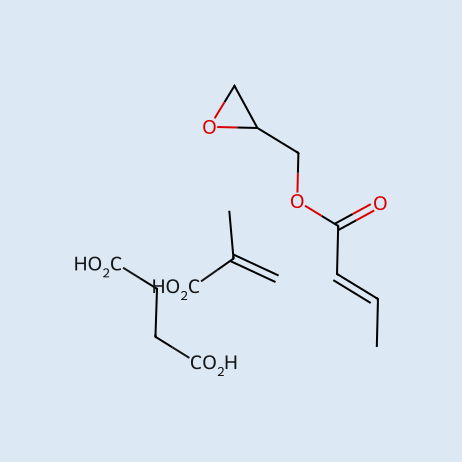 C=C(C)C(=O)O.CC=CC(=O)OCC1CO1.O=C(O)CCC(=O)O